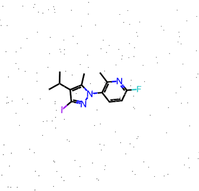 Cc1nc(F)ccc1-n1nc(I)c(C(C)C)c1C